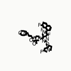 O=C(C=CCN1C2CCC1COC2)N1CCN(c2nc(OC[C@@]34CCCN3C[C@H](F)C4)nc3c(F)c(-c4cccc5ccc(F)c(F)c45)ncc23)CC12COC2